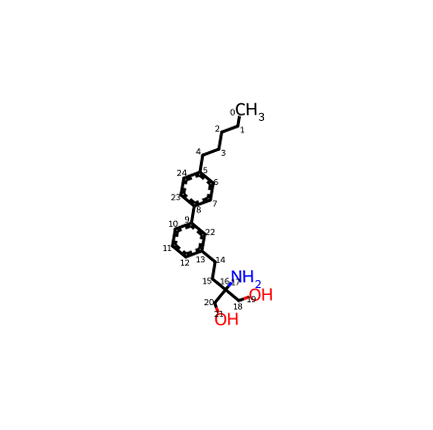 CCCCCc1ccc(-c2cccc(CCC(N)(CO)CO)c2)cc1